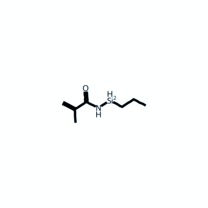 C=C(C)C(=O)N[SiH2]CCC